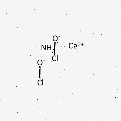 N.[Ca+2].[O-]Cl.[O-]Cl